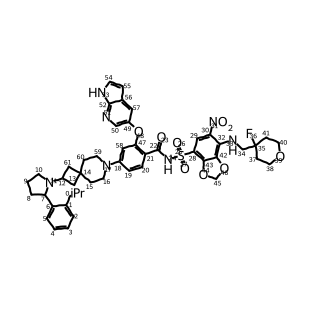 CC(C)c1ccccc1C1CCCN1C1CC2(CCN(c3ccc(C(=O)NS(=O)(=O)c4cc([N+](=O)[O-])c(NCC5(F)CCOCC5)c5c4OCO5)c(Oc4cnc5[nH]ccc5c4)c3)CC2)C1